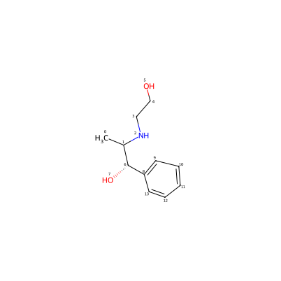 CC(NCCO)[C@@H](O)c1ccccc1